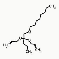 C=CCOC(CCC)(COCCCCCCCC)OCC=C